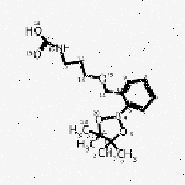 CC1(C)OB(c2ccccc2COCCCNC(=O)O)OC1(C)C